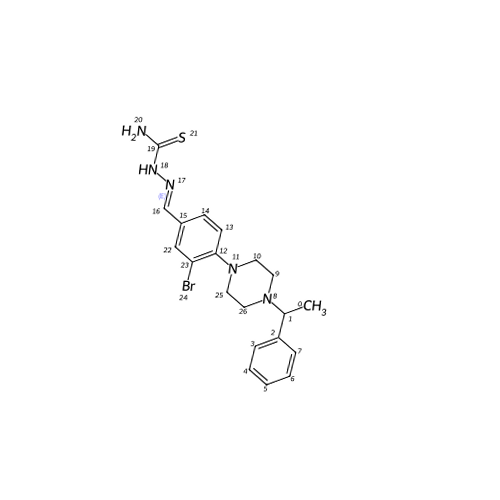 CC(c1ccccc1)N1CCN(c2ccc(/C=N/NC(N)=S)cc2Br)CC1